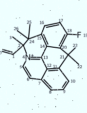 C=CC1(C)[n+]2ccc3cccc4c3c2-c2c(ccc(F)c2C4(C)C)C1(C)C